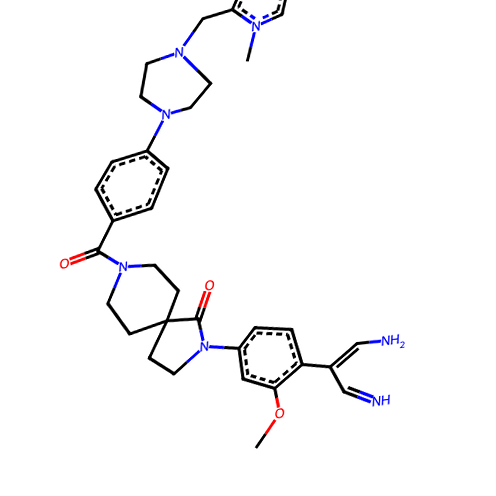 COc1cc(N2CCC3(CCN(C(=O)c4ccc(N5CCN(Cc6cccn6C)CC5)cc4)CC3)C2=O)ccc1/C(C=N)=C/N